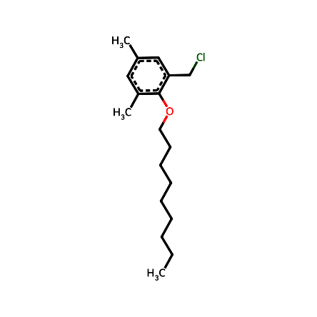 CCCCCCCCCOc1c(C)cc(C)cc1CCl